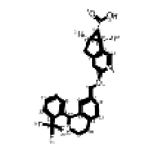 O=C(O)[C@H]1[C@@H]2Cc3cc(OCc4ccc5c(c4)C(c4ccccc4C(F)(F)F)OCC5)ncc3[C@@H]21